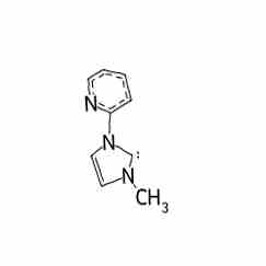 CN1[C]N(c2ccccn2)C=C1